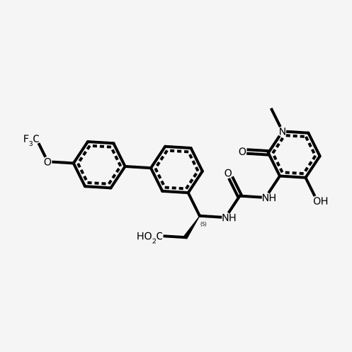 Cn1ccc(O)c(NC(=O)N[C@@H](CC(=O)O)c2cccc(-c3ccc(OC(F)(F)F)cc3)c2)c1=O